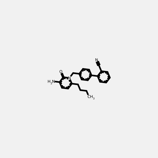 CCCCc1ccc(N)c(=O)n1Cc1ccc(-c2ccccc2C#N)cc1